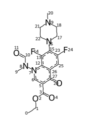 CCOC(=O)c1cn(N(C)C=O)c2c(F)c(N3CCN(C)CC3)c(F)cc2c1=O